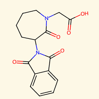 O=C(O)CN1CCCCC(N2C(=O)c3ccccc3C2=O)C1=O